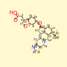 O=C(O)C[C@@H]1COc2cc(O[C@@H]3CCc4c3ccc(C(F)(F)F)c4CN3CCc4ncsc4C3)ccc21